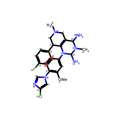 COc1cc(N2C3=C(CN(C)CC3c3ccc(F)cc3)C(N)N(C)C2N)ccc1-n1cnc(Cl)c1